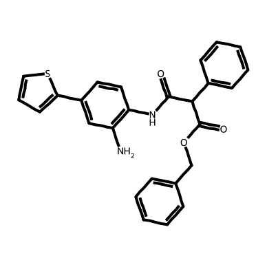 Nc1cc(-c2cccs2)ccc1NC(=O)C(C(=O)OCc1ccccc1)c1ccccc1